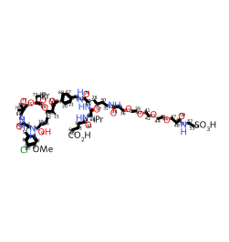 COc1ccc(C[C@H]2NC(O)/C=C/C[C@@H]([C@H](C)[C@H]3O[C@@H]3c3ccc(CNC(=O)[C@H](CCCCNC(=O)CCOCCOCCOCCOCCC(=O)NCCS(=O)(=O)O)NC(=O)[C@@H](NC(=O)CCCC(=O)O)C(C)C)cc3)OC(=O)[C@H](CC(C)C)OC(=O)C(C)(C)CNC2=O)cc1Cl